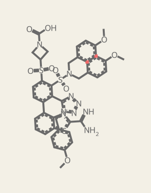 COc1ccc(CN(Cc2ccc(OC)cc2)S(=O)(=O)c2c(S(=O)(=O)C3CN(C(=O)O)C3)ccc(-c3cccc4sc(C(=N)N)nc34)c2-c2nnnn2Cc2ccc(OC)cc2)cc1